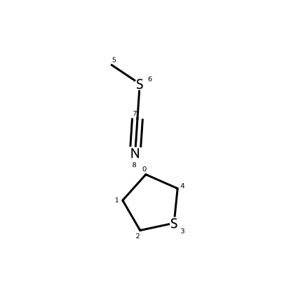 C1CCSC1.CSC#N